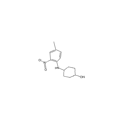 Cc1ccc(NC2CCC(O)CC2)c([N+](=O)[O-])c1